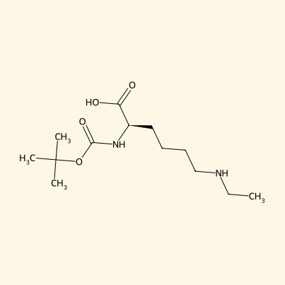 CCNCCCC[C@@H](NC(=O)OC(C)(C)C)C(=O)O